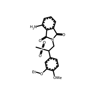 CCOc1cc(C(CN2C(=O)c3cccc(N)c3C2=O)S(C)(=O)=O)ccc1OC